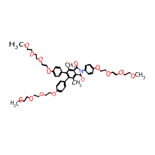 COCCOCCOCCOc1ccc(-c2c(C)c3c(c(C)c2-c2ccc(OCCOCCOCCOC)cc2)C(=O)N(c2ccc(OCCOCCOCCOC)cc2)C3=O)cc1